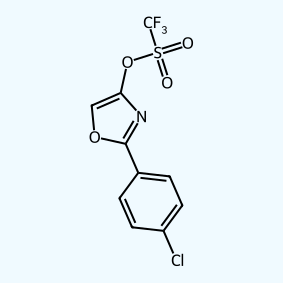 O=S(=O)(Oc1coc(-c2ccc(Cl)cc2)n1)C(F)(F)F